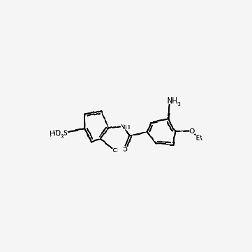 CCOc1ccc(C(=O)Nc2ccc(S(=O)(=O)O)cc2Cl)cc1N